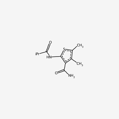 Cc1sc(NC(=O)C(C)C)c(C(N)=O)c1C